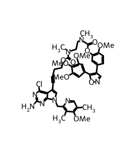 COc1ccc(-c2cnoc2-c2cc(OC)c(OC)c(OC)c2)cc1OC(=O)N(C)CCN(C)C(=O)OCCC#Cc1cn(Cc2ncc(C)c(OC)c2C)c2nc(N)nc(Cl)c12